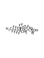 CC(F)(F)C(F)(F)C(F)(OC(F)(F)C(F)(F)OC(F)(F)C(F)(F)CS(=O)(=O)O)C(C)(F)F